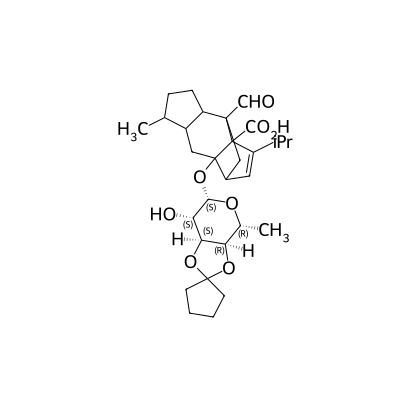 CC(C)C1=CC2CC3(C=O)C4CCC(C)C4CC2(O[C@@H]2O[C@H](C)[C@H]4OC5(CCCC5)O[C@H]4[C@@H]2O)C13C(=O)O